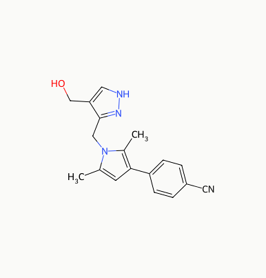 Cc1cc(-c2ccc(C#N)cc2)c(C)n1Cc1n[nH]cc1CO